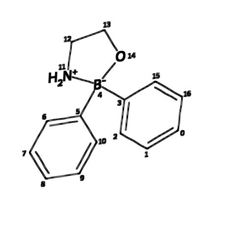 c1ccc([B-]2(c3ccccc3)[NH2+]CCO2)cc1